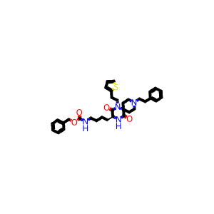 O=C(NCCCC[C@@H]1NC(=O)C2(CCN(CCc3ccccc3)CC2)N(CCc2cccs2)C1=O)OCc1ccccc1